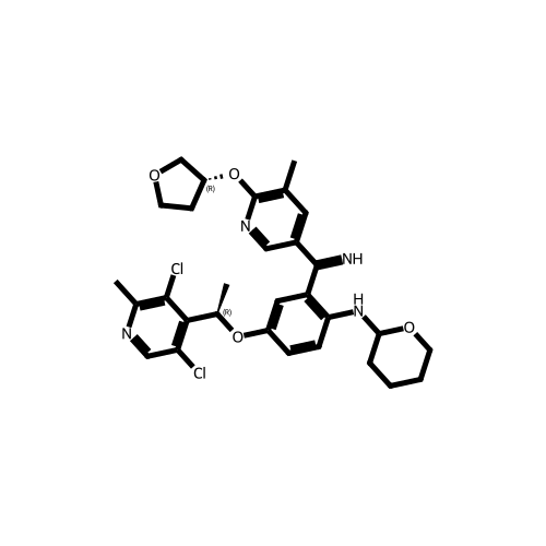 Cc1cc(C(=N)c2cc(O[C@H](C)c3c(Cl)cnc(C)c3Cl)ccc2NC2CCCCO2)cnc1O[C@@H]1CCOC1